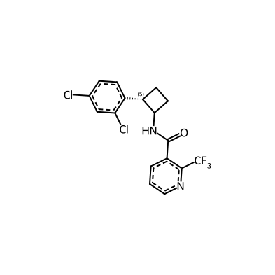 O=C(NC1CC[C@H]1c1ccc(Cl)cc1Cl)c1cccnc1C(F)(F)F